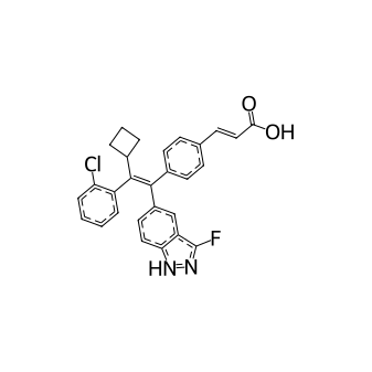 O=C(O)C=Cc1ccc(C(=C(c2ccccc2Cl)C2CCC2)c2ccc3[nH]nc(F)c3c2)cc1